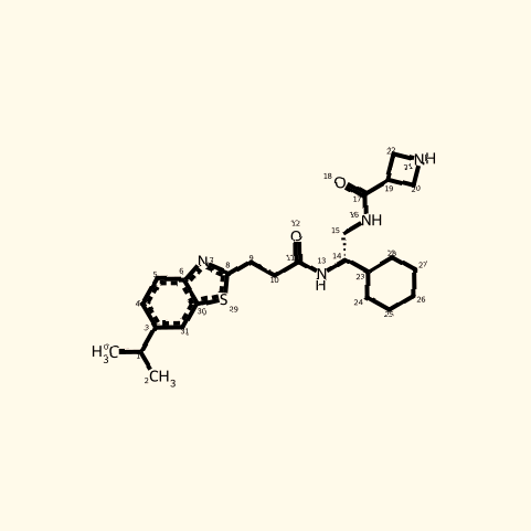 CC(C)c1ccc2nc(CCC(=O)N[C@H](CNC(=O)C3CNC3)C3CCCCC3)sc2c1